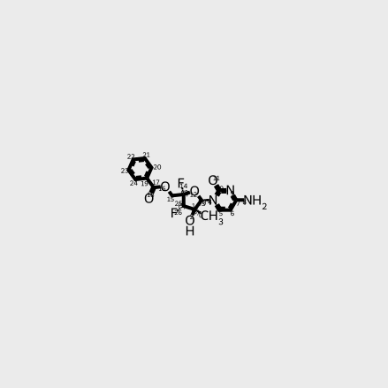 C[C@]1(O)[C@H](n2ccc(N)nc2=O)O[C@](F)(COC(=O)c2ccccc2)[C@H]1F